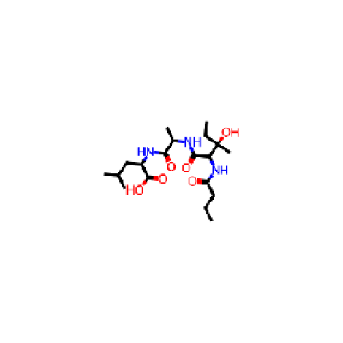 CCCC(=O)NC(C(=O)NC(C)C(=O)NC(CC(C)C)C(=O)O)C(C)(O)CC